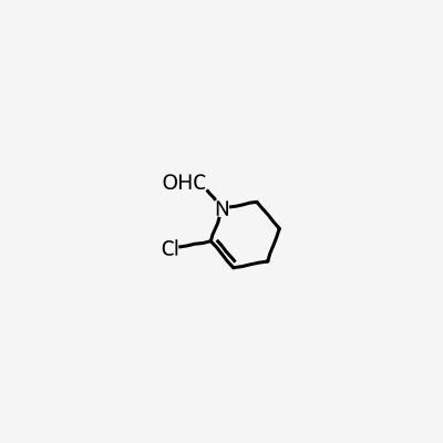 O=CN1CCCC=C1Cl